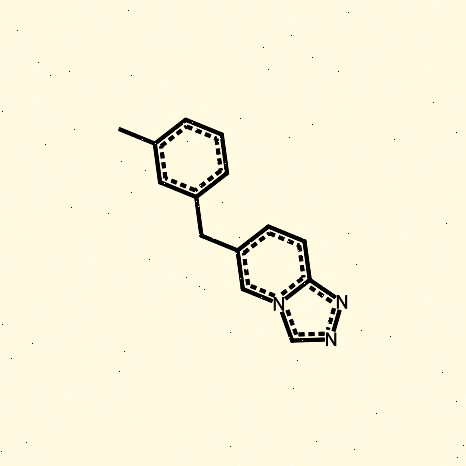 Cc1cccc(Cc2ccc3nncn3c2)c1